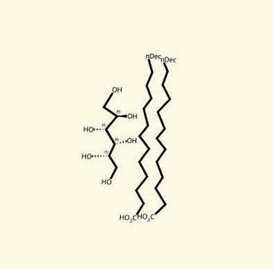 CCCCCCCCCCCCCCCCCCCCCC(=O)O.CCCCCCCCCCCCCCCCCCCCCC(=O)O.OC[C@@H](O)[C@@H](O)[C@H](O)[C@@H](O)CO